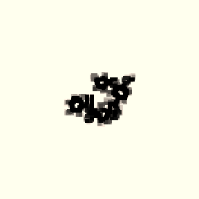 COc1ccc(C2=NOC3(CCN(C(=O)Nc4ccccc4)C3)C2)cc1OC1CCCC1